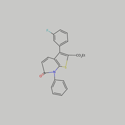 CCOC(=O)c1sc2c(ccc(=O)n2-c2ccccc2)c1-c1cccc(F)c1